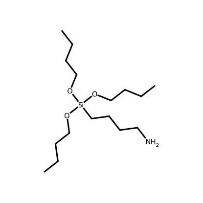 CCCCO[Si](CCCCN)(OCCCC)OCCCC